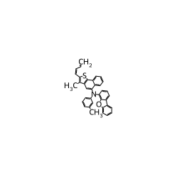 C=C/C=C\c1sc2c(cc(N(c3cccc(C)c3)c3cccc4c3oc3ccccc34)c3ccccc32)c1C